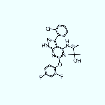 C[C@H](Nc1nc(Oc2ccc(F)cc2F)nc2[nH]nc(-c3ccccc3Cl)c12)C(C)(C)O